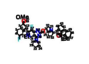 CCc1c(F)ccc2cc(OCOC)cc(-c3ncc4c(N5CCC[C@@H](C)C5)nc(OC[C@]56CCCN5[C@H](CO[Si](c5ccccc5)(c5ccccc5)C(C)(C)C)CC6)nc4c3F)c12